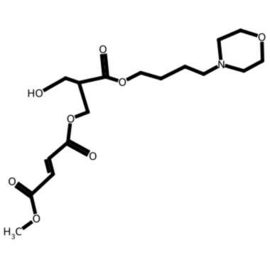 COC(=O)/C=C/C(=O)OCC(CO)C(=O)OCCCCN1CCOCC1